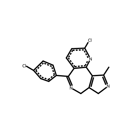 CC1=NCC2=C1c1nc(Cl)ccc1C(c1ccc(Cl)cc1)=NC2